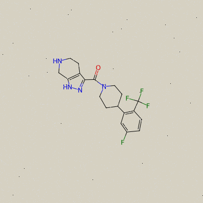 O=C(c1n[nH]c2c1CCNC2)N1CCC(c2cc(F)ccc2C(F)(F)F)CC1